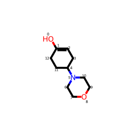 OC1=CCC(N2CCOCC2)CC1